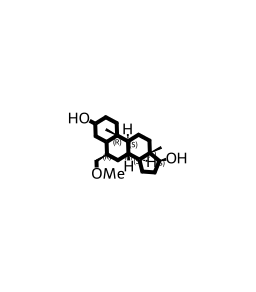 COC[C@@H]1C[C@H]2[C@@H]3CC[C@H](O)[C@@]3(C)CC[C@@H]2[C@@]2(C)CCC(O)CC12